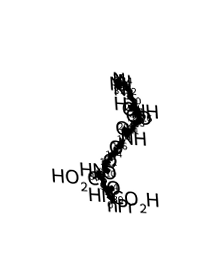 CCCC(NC(=O)CC[C@H](NC(=O)COCCOCCNC(=O)CCCS(=O)(=O)NC(=O)CCCc1nnn[nH]1)C(=O)O)C(=O)O